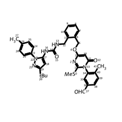 CSc1nc(OCc2ccccc2CNC(=O)Nc2cc(C(C)(C)C)nn2-c2ccc(C)cc2)cc(=O)n1-c1cc(C=O)ccc1C